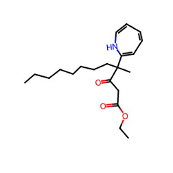 CCCCCCCCC(C)(C(=O)CC(=O)OCC)C1=CC=CC=CN1